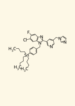 CCC[CH2][Sn]([CH2]CCC)([CH2]CCC)[c]1ccc(Cn2c(-c3cncc(Cn4ccnc4)c3)nc3cc(F)c(Cl)cc32)cc1